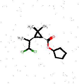 CC(C(Cl)Cl)[C@@H]1[C@@H](C(=O)OC2CCCC2)C1(C)C